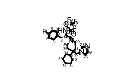 O=C([C@H](Cc1ccc(F)cc1)NS(=O)(=O)C(F)(F)F)N1CCC(Cn2ccnc2)(C2CCCCC2)CC1